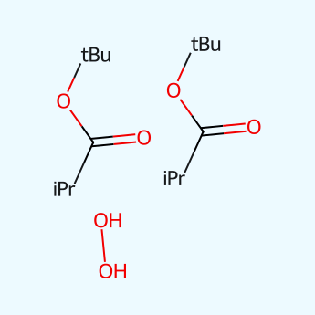 CC(C)C(=O)OC(C)(C)C.CC(C)C(=O)OC(C)(C)C.OO